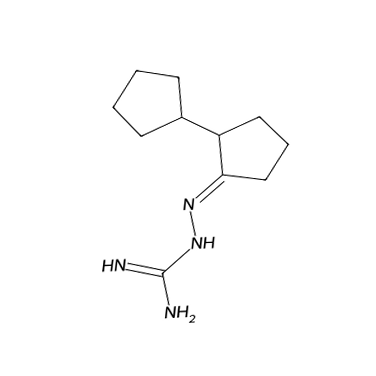 N=C(N)N/N=C1\CCCC1C1CCCC1